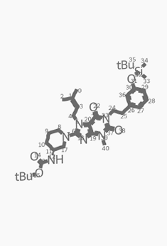 CC(C)=CCn1c(N2CCC[C@H](NC(=O)OC(C)(C)C)C2)nc2c1c(=O)n(CCc1cccc(O[Si](C)(C)C(C)(C)C)c1)c(=O)n2C